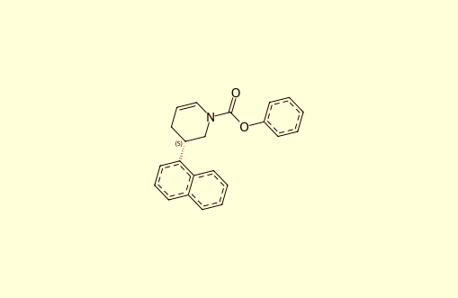 O=C(Oc1ccccc1)N1C=CC[C@@H](c2cccc3ccccc23)C1